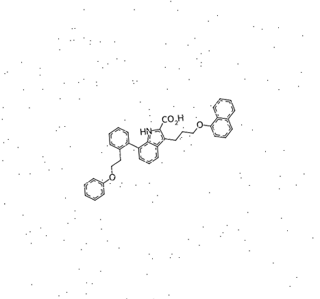 O=C(O)c1[nH]c2c(-c3ccccc3CCOc3ccccc3)cccc2c1CCCOc1cccc2ccccc12